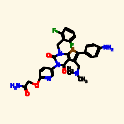 CN(C)Cc1c(-c2ccc(N)cc2)sc2c1c(=O)n(-c1ccc(OCC(N)=O)nc1)c(=O)n2Cc1c(F)cccc1F